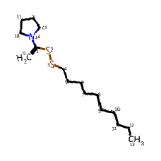 C=C(SSCCCCCCCCCC)N1CCCC1